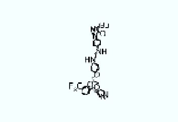 CCC(C)n1ncn(-c2ccc(NCCNc3ccc(OC[C@@H]4CO[C@@](Cc5ccnnc5)(c5cccc(C(F)(F)F)c5)O4)cc3)cc2)c1=O